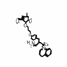 Cc1cc(Cl)c(OCCCOc2ccc(CC(CN)C(=O)N3CCCc4ccccc43)cc2)c(Cl)c1